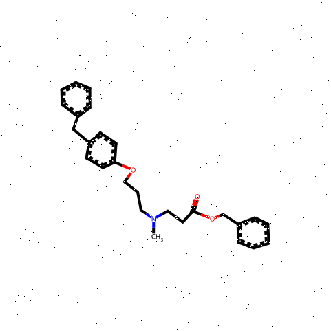 CN(CCCOc1ccc(Cc2ccccc2)cc1)CCC(=O)OCc1ccccc1